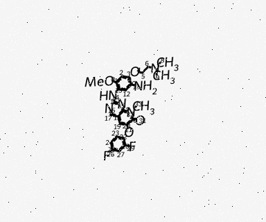 COc1cc(OCCN(C)C)c(N)cc1Nc1ncc2cc(Oc3ccc(F)cc3F)c(=O)n(C)c2n1